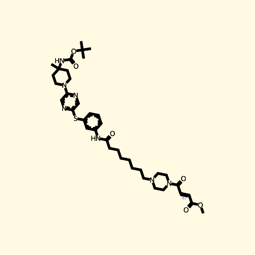 COC(=O)/C=C/C(=O)N1CCN(CCCCCCCC(=O)Nc2cccc(Sc3cnc(N4CCC(C)(NC(=O)OC(C)(C)C)CC4)cn3)c2)CC1